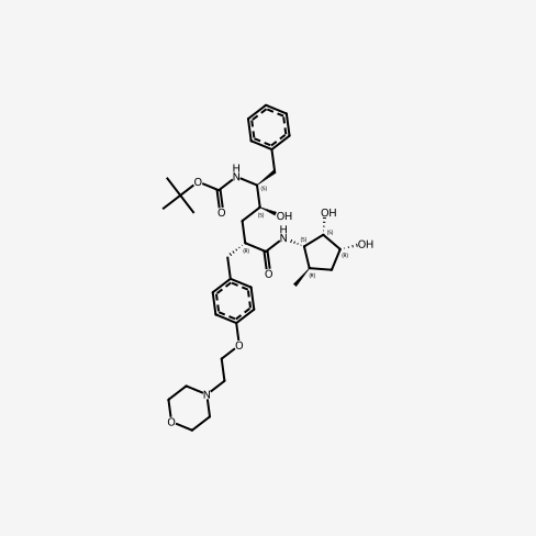 C[C@@H]1C[C@@H](O)[C@@H](O)[C@H]1NC(=O)[C@H](Cc1ccc(OCCN2CCOCC2)cc1)C[C@H](O)[C@H](Cc1ccccc1)NC(=O)OC(C)(C)C